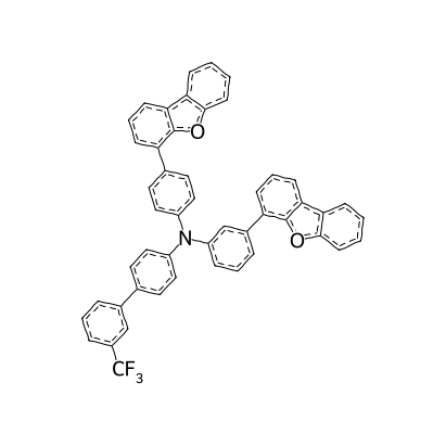 FC(F)(F)c1cccc(-c2ccc(N(c3ccc(-c4cccc5c4oc4ccccc45)cc3)c3cccc(-c4cccc5c4oc4ccccc45)c3)cc2)c1